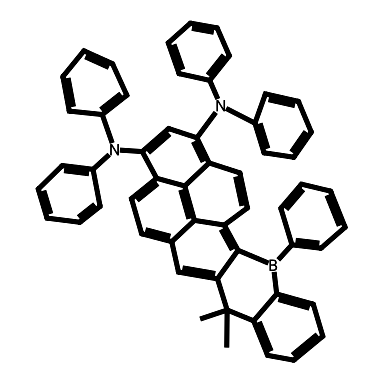 CC1(C)c2ccccc2B(c2ccccc2)c2c1cc1ccc3c(N(c4ccccc4)c4ccccc4)cc(N(c4ccccc4)c4ccccc4)c4ccc2c1c34